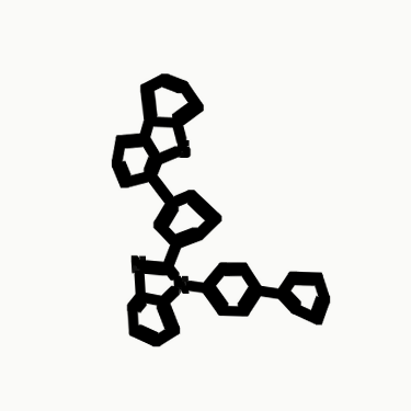 c1ccc(-c2ccc(-n3c(-c4cccc(-c5cccc6c5sc5ccccc56)c4)nc4ccccc43)cc2)cc1